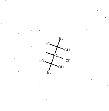 CCC(O)(O)[N+](C)(C)C(O)(O)CC.[Cl-]